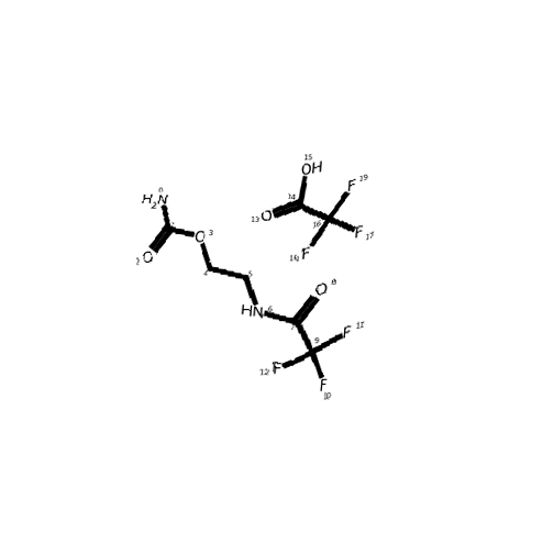 NC(=O)OCCNC(=O)C(F)(F)F.O=C(O)C(F)(F)F